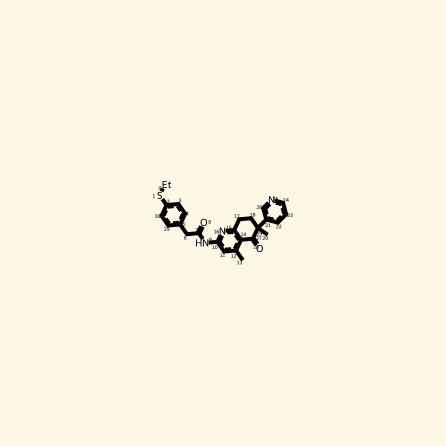 CCSc1ccc(CC(=O)Nc2cc(C)c3c(n2)CCC(C)(c2cccnc2)C3=O)cc1